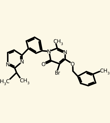 Cc1cccc(COc2nc(C)n(-c3cccc(-c4ccnc(C(C)C)n4)c3)c(=O)c2Br)c1